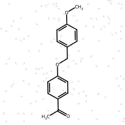 COc1ccc(COc2ccc(C(C)=O)cc2)cc1